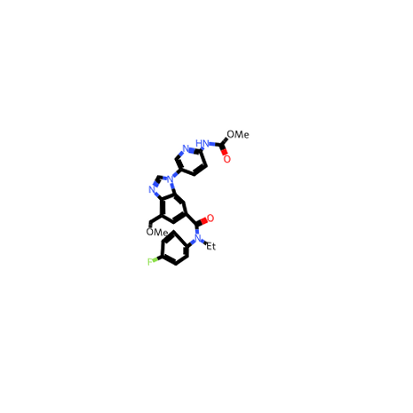 CCN(C(=O)c1cc(COC)c2ncn(-c3ccc(NC(=O)OC)nc3)c2c1)c1ccc(F)cc1